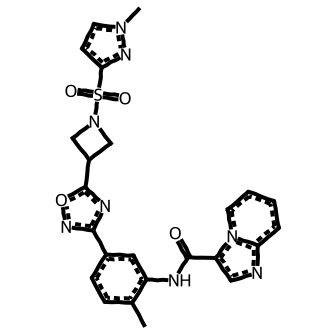 Cc1ccc(-c2noc(C3CN(S(=O)(=O)c4ccn(C)n4)C3)n2)cc1NC(=O)c1cnc2ccccn12